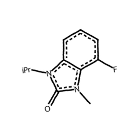 CC(C)n1c(=O)n(C)c2c(F)cccc21